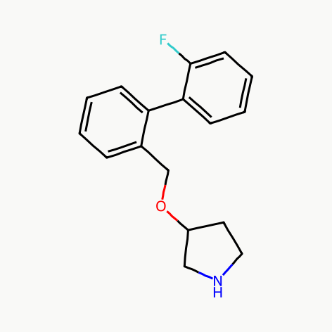 Fc1ccccc1-c1ccccc1COC1CCNC1